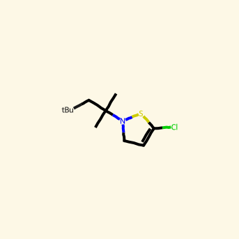 CC(C)(C)CC(C)(C)N1CC=C(Cl)S1